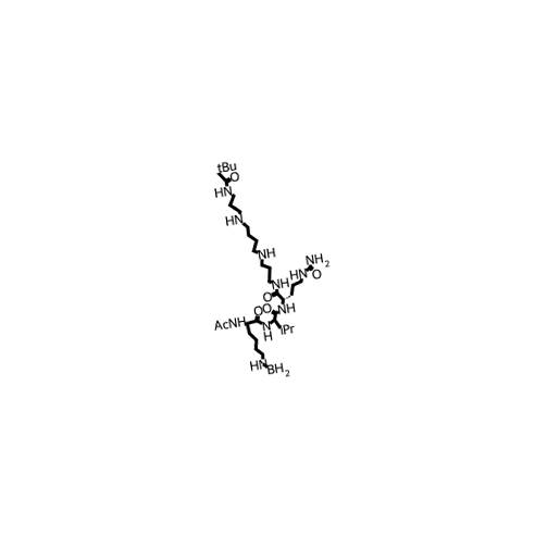 BNCCCC[C@H](NC(C)=O)C(=O)NC(C(=O)N[C@@H](CCCNC(N)=O)C(=O)NCCCNCCCCNCCCNC(=O)CC(C)(C)C)C(C)C